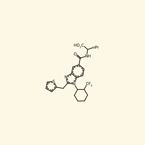 CCCC(NC(=O)c1ccc2c(c1)nc(Cc1cccs1)n2C1CCCCC1C(F)(F)F)C(=O)O